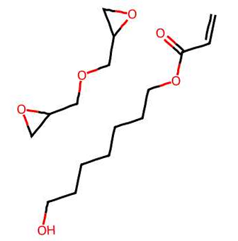 C(OCC1CO1)C1CO1.C=CC(=O)OCCCCCCCO